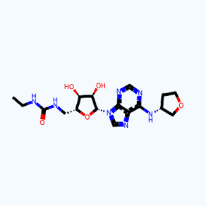 CCNC(=O)NC[C@H]1O[C@@H](n2cnc3c(N[C@@H]4CCOC4)ncnc32)[C@H](O)[C@@H]1O